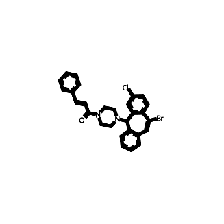 O=C(C=Cc1ccccc1)N1CCN(C2c3ccccc3C=C(Br)c3ccc(Cl)cc32)CC1